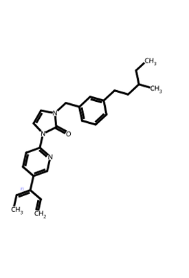 C=C/C(=C\C)c1ccc(-n2ccn(Cc3cccc(CCC(C)CC)c3)c2=O)nc1